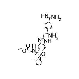 CCOC(=O)CNC(C)(C(=O)N1CCC[C@@H]1C)c1ccc2[nH]c(CC(N)c3ccc(C(=N)N)cc3)nc2c1